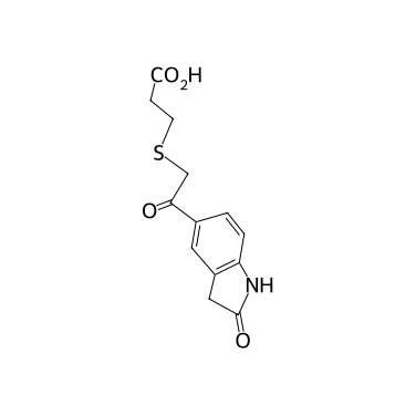 O=C(O)CCSCC(=O)c1ccc2c(c1)CC(=O)N2